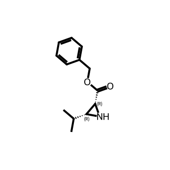 CC(C)[C@H]1N[C@H]1C(=O)OCc1ccccc1